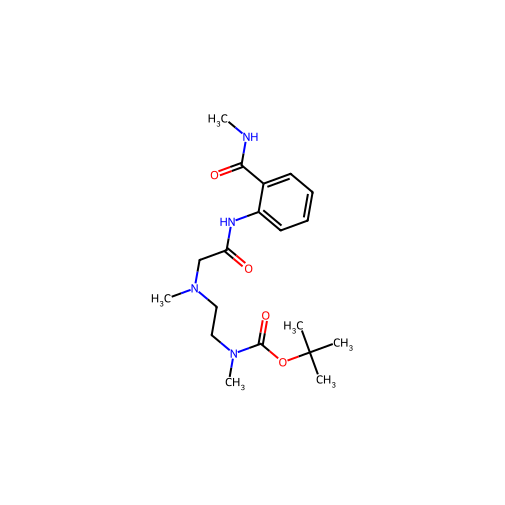 CNC(=O)c1ccccc1NC(=O)CN(C)CCN(C)C(=O)OC(C)(C)C